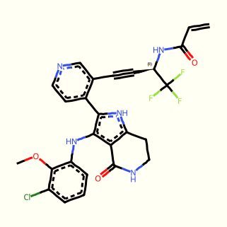 C=CC(=O)N[C@H](C#Cc1cnccc1-c1[nH]c2c(c1Nc1cccc(Cl)c1OC)C(=O)NCC2)C(F)(F)F